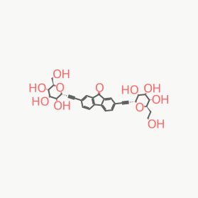 O=C1c2cc(C#C[C@H]3O[C@H](CO)[C@@H](O)[C@H](O)[C@@H]3O)ccc2-c2ccc(C#C[C@H]3O[C@H](CCO)[C@@H](O)[C@H](O)[C@@H]3O)cc21